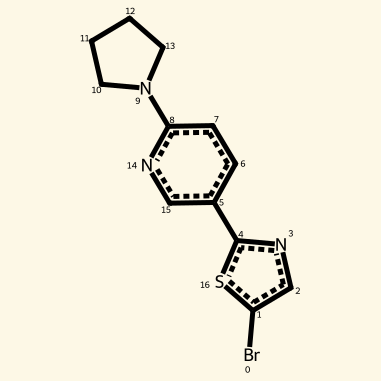 Brc1cnc(-c2ccc(N3CCCC3)nc2)s1